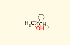 CCC(C)(OO)C1CCCCC1